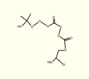 CCCCC(CC)COC(=O)OOC(=O)OOOC(C)(C)CCC